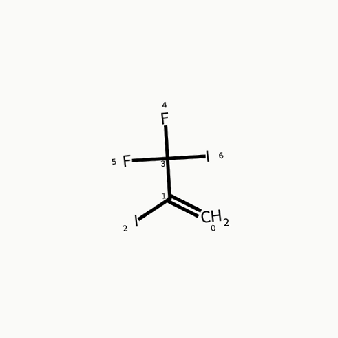 C=C(I)C(F)(F)I